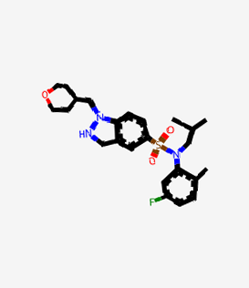 Cc1ccc(F)cc1N(CC(C)C)S(=O)(=O)c1ccc2c(c1)CNN2CC1CCOCC1